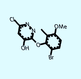 COc1ccc(Br)c(Oc2nnc(Cl)cc2O)c1C